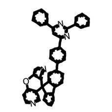 c1ccc(-c2cc(-c3ccc(-c4ccc5c(c4)C4(c6cnccc6Oc6ccncc64)c4ccccc4-5)cc3)nc(-c3ccccc3)n2)cc1